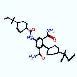 CCC(C)(C)C1CCC(C(=O)Nc2cc(C(N)=O)c(C3CCC(C(C)(C)CC)CC3)c(C(N)=O)c2)CC1